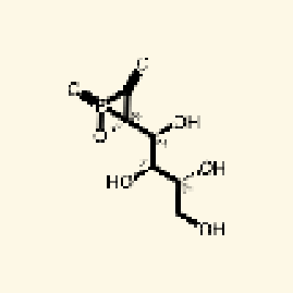 O=C1[C@]2([C@@H](O)[C@H](O)[C@H](O)CO)OP12=O